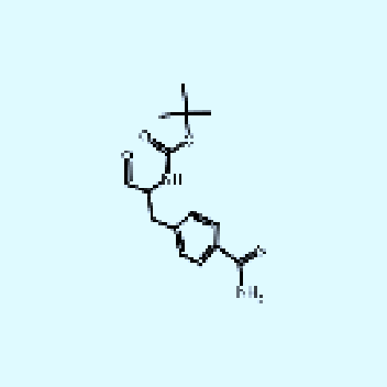 CC(C)(C)OC(=O)N[C@H]([C]=O)Cc1ccc(C(N)=S)cc1